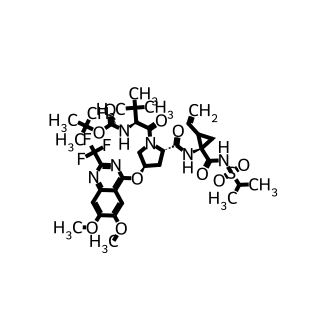 C=CC1C[C@]1(NC(=O)[C@@H]1C[C@@H](Oc2nc(C(F)(F)F)nc3cc(OC)c(OC)cc23)CN1C(=O)[C@@H](NC(=O)OC(C)(C)C)C(C)(C)C)C(=O)NS(=O)(=O)C(C)C